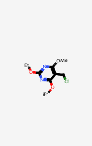 CCOc1nc(OC)c(CCl)c(OC(C)C)n1